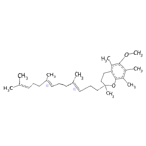 COc1c(C)c(C)c2c(c1C)CCC(C)(CC/C=C(\C)CC/C=C(\C)CCC=C(C)C)O2